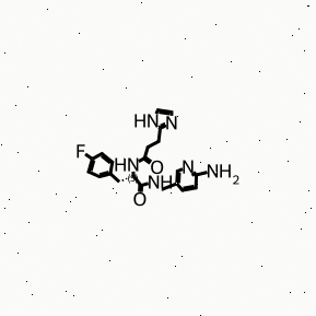 Nc1ccc(CNC(=O)[C@H](Cc2ccc(F)cc2)NC(=O)CCc2ncc[nH]2)cn1